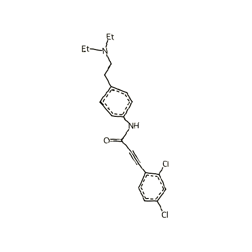 CCN(CC)CCc1ccc(NC(=O)C#Cc2ccc(Cl)cc2Cl)cc1